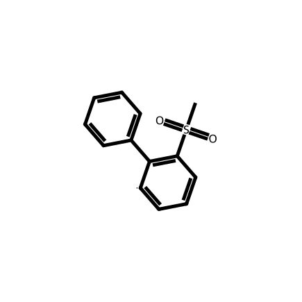 CS(=O)(=O)c1ccc[c]c1-c1ccccc1